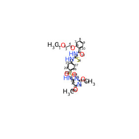 CCOCCOc1ccccc1C(=O)NC(=S)Nc1ccc(S(=O)(=O)Nc2cc(OC)nc(OC)n2)cc1